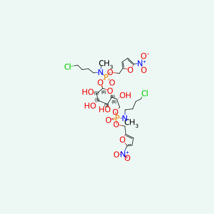 CN(CCCCCl)P(=O)(OCc1ccc([N+](=O)[O-])o1)OC[C@@H](O)[C@H]1O[C@H](OP(=O)(OCc2ccc([N+](=O)[O-])o2)N(C)CCCCCl)[C@@H](O)[C@@H](O)[C@@H]1O